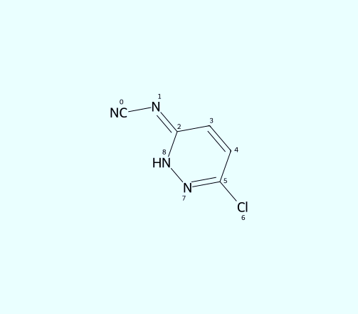 N#C/N=c1/ccc(Cl)n[nH]1